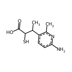 Cc1nc(N)ccc1C(C)C(S)C(=O)O